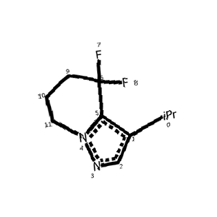 CC(C)c1cnn2c1C(F)(F)CCC2